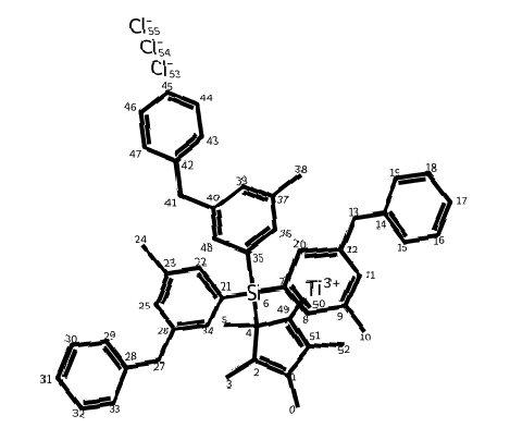 CC1=C(C)C(C)([Si](c2cc(C)cc(Cc3ccccc3)c2)(c2cc(C)cc(Cc3ccccc3)c2)c2cc(C)cc(Cc3ccccc3)c2)[C]([Ti+3])=C1C.[Cl-].[Cl-].[Cl-]